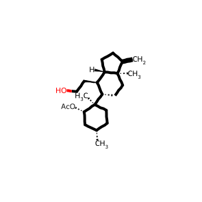 C=C1CC[C@H]2[C@H](CCO)[C@@H]([C@@]3(C)CC[C@H](C)C[C@@H]3OC(C)=O)CC[C@]12C